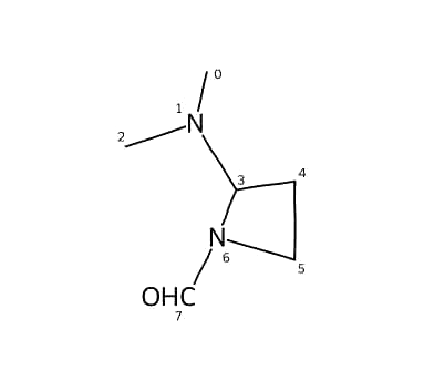 CN(C)C1CCN1C=O